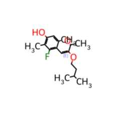 CC(=O)/C(=C\c1c(C)cc(O)c(C)c1F)OCCC(C)C